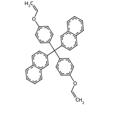 C=COc1ccc(C(c2ccc(OC=C)cc2)(c2ccc3ccccc3c2)c2ccc3ccccc3c2)cc1